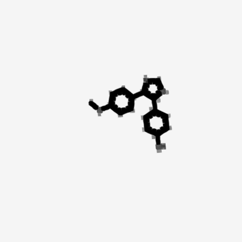 COc1ccc(-c2ncoc2-c2ccc(O)cc2)cc1